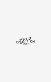 O=C([O-])/C=C\C(=O)OCC(=O)O.[Na+]